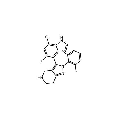 Cc1cccc(C)c1-n1nc2c(c1-c1c(F)cc(Cl)c3[nH]ccc13)CNCC2